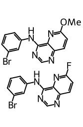 COc1ccc2ncnc(Nc3cccc(Br)c3)c2n1.Fc1ccc2ncnc(Nc3cccc(Br)c3)c2n1